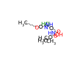 CCCCCCCOc1ccc(-c2c[nH]c(-c3ccc(CC(NC(=O)c4ccc(C(C)(C)C)cc4)C(=O)O)cc3)n2)cc1.Cl